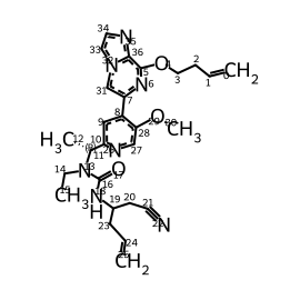 C=CCCOc1nc(-c2cc([C@@H](C)N(CC)C(=O)NC(CC#N)CC=C)ncc2OC)cn2ccnc12